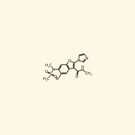 CNC(=O)c1c(-n2ccnc2)oc2cc(N(C)S(C)(=O)=O)c(Br)cc12